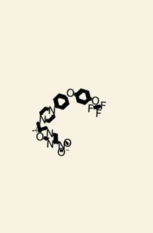 C[C@]1(CN2CCN(c3ccc(Oc4ccc(OC(F)(F)F)cc4)cc3)CC2)Cn2cc([N+](=O)[O-])nc2O1